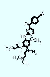 C=CC(=O)Nc1cc(Nc2nccc(C(=O)c3ccc(C#N)cc3)n2)c(OC)cc1N(C)CCN(C)C